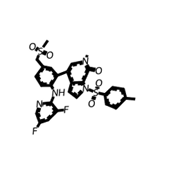 Cc1ccc(S(=O)(=O)n2ccc3c(-c4cc(CS(C)(=O)=O)ccc4Nc4ncc(F)cc4F)cn(C)c(=O)c32)cc1